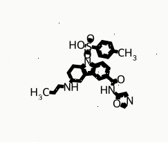 CCCNC1CCc2[nH]c3ccc(C(=O)Nc4cnco4)cc3c2C1.Cc1ccc(S(=O)(=O)O)cc1